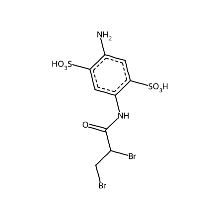 Nc1cc(S(=O)(=O)O)c(NC(=O)C(Br)CBr)cc1S(=O)(=O)O